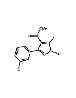 COC(=O)c1c(-c2cccc(Cl)c2)nn(C(C)=O)c1C